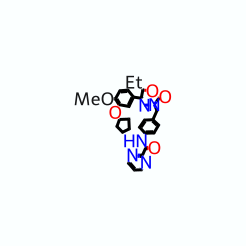 CCC1OC(=O)N(Cc2ccc(NC(=O)c3ncccn3)cc2)N=C1c1ccc(OC)c(OC2CCCC2)c1